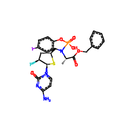 C[C@@H](C(=O)OCc1ccccc1)N(C[C@@H]1C[C@H](F)[C@H](n2ccc(N)nc2=O)S1)P(=O)(O)Oc1ccc(I)cc1